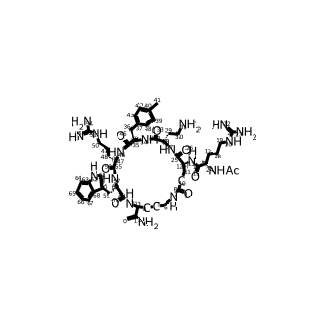 C=C(N)C1CCCNC(=O)CC[C@H](NC(=O)[C@H](CCCNC(=N)N)NC(C)=O)C(=O)N[C@@H](CCN)C(=O)N[C@H](Cc2ccc(C)cc2)C(=O)N[C@@H](CCCNC(=N)N)C(=O)N[C@@H](Cc2c[nH]c3ccccc23)C(=O)N1